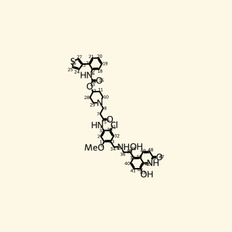 COc1cc(NC(=O)CCN2CCC(OC(=O)Nc3ccccc3-c3ccsc3)CC2)c(Cl)cc1CNC[C@@H](O)c1ccc(O)c2[nH]c(=O)ccc12